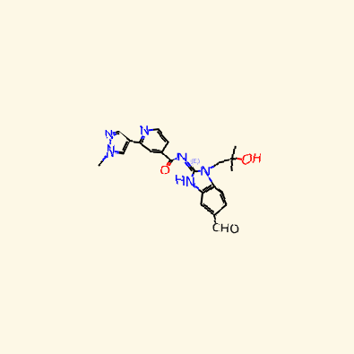 Cn1cc(-c2cc(C(=O)/N=c3\[nH]c4cc(C=O)ccc4n3CC(C)(C)O)ccn2)cn1